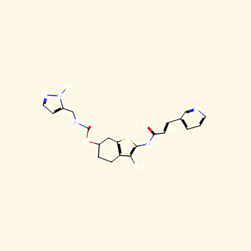 CCn1nccc1CNC(=O)OC1CCc2c(sc(NC(=O)/C=C/c3cccnc3)c2C#N)C1